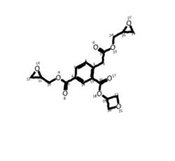 O=C(Cc1ccc(C(=O)OCC2CO2)cc1C(=O)OC1COC1)OCC1CO1